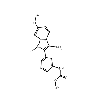 CCn1c(-c2cccc(NC(=O)OC(C)C)c2)c(N)c2ccc(OC(C)C)cc21